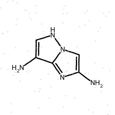 Nc1cn2[nH]cc(N)c2n1